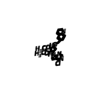 CC1(C)O[C@@H]2[C@H](O1)[C@@H](OCc1ccc3ncccc3c1)C[C@H]2n1ccc2c(Cl)ncnc21